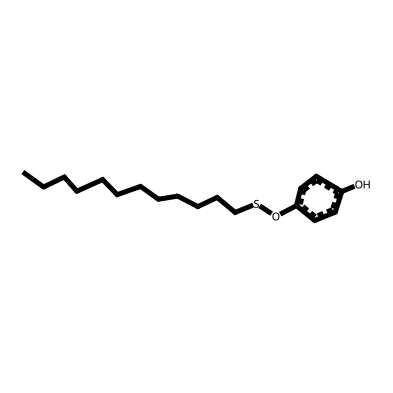 CCCCCCCCCCCCSOc1ccc(O)cc1